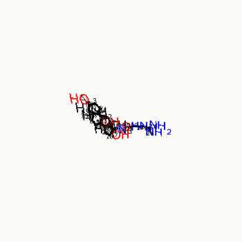 C[C@]12CC[C@H](O)C[C@H]1CC[C@@H]1[C@@H]2CC[C@]2(C)[C@@](O)(/C=N/OCCCNC(=N)N)CC[C@]12O